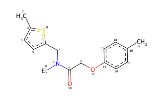 CCN(Cc1ccc(C)s1)C(=O)COc1ccc(C)cc1